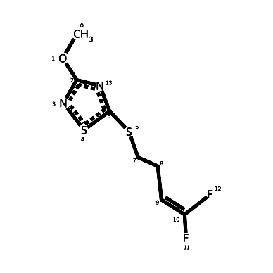 COc1nsc(SCCC=C(F)F)n1